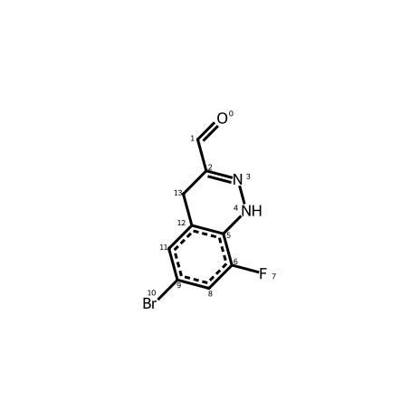 O=CC1=NNc2c(F)cc(Br)cc2C1